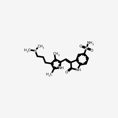 Cc1[nH]c(/C=C2\C(=O)Nc3ccc(S(N)(=O)=O)cc32)c(C)c1CCCN(C)C